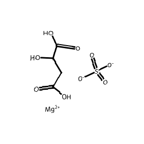 O=C(O)CC(O)C(=O)O.O=S(=O)([O-])[O-].[Mg+2]